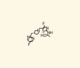 CC(O)Nc1nc(F)c(CN2CC[C@@H](Cc3ncc(F)cn3)C2)s1